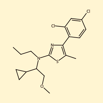 CCCN(c1nc(-c2ccc(Cl)cc2Cl)c(C)s1)C(COC)C1CC1